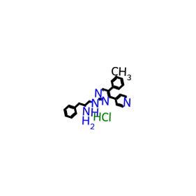 Cc1cccc(-c2cnc(NC[C@@H](N)Cc3ccccc3)nc2-c2ccncc2)c1.Cl